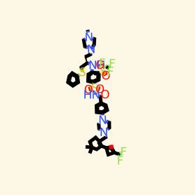 CN1CCN(CC[C@H](CSc2ccccc2)Nc2ccc(S(=O)(=O)NC(=O)c3ccc(N4CCN(CC5=C(C67CC(C(F)F)(C6)C7)CC(C)(C)CC5)CC4)cc3)cc2S(=O)(=O)C(F)(F)F)CC1